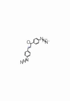 [N-]=[N+]=Nc1ccc(/C=C/C(=O)c2ccc(N=[N+]=[N-])cc2)cc1